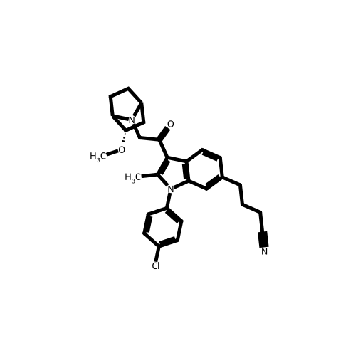 CO[C@H]1CC2CCC1N2CC(=O)c1c(C)n(-c2ccc(Cl)cc2)c2cc(CCCC#N)ccc12